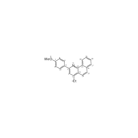 CCc1cc(-c2ccc(OC)cc2)nc2c1ccc1ccccc12